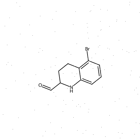 O=CC1CCc2c(Br)cccc2N1